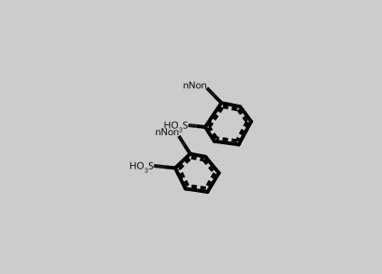 CCCCCCCCCc1ccccc1S(=O)(=O)O.CCCCCCCCCc1ccccc1S(=O)(=O)O